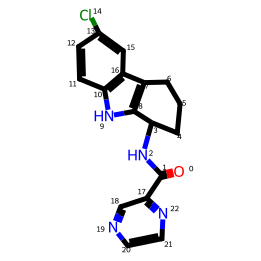 O=C(NC1CCCc2c1[nH]c1ccc(Cl)cc21)c1cnccn1